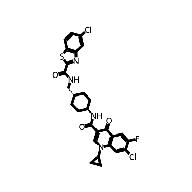 O=C(NC[C@H]1CC[C@H](NC(=O)c2cn(C3CC3)c3cc(Cl)c(F)cc3c2=O)CC1)c1nc2cc(Cl)ccc2s1